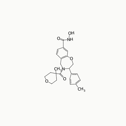 Cc1ccc(C2COc3cc(C(=O)NO)ccc3CN2C(=O)C2(C)CCOCC2)cc1